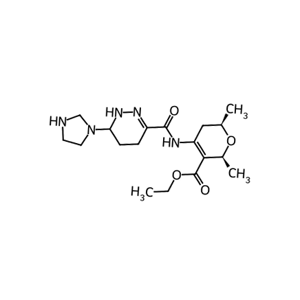 CCOC(=O)C1=C(NC(=O)C2=NNC(N3CCNC3)CC2)C[C@@H](C)O[C@H]1C